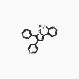 O=C(O)c1ccccc1-c1cc(-c2ccncc2)c(-c2ccccc2)[nH]1